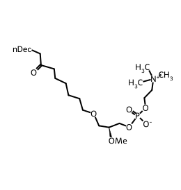 CCCCCCCCCCCC(=O)CCCCCCOC[C@@H](COP(=O)([O-])OCC[N+](C)(C)C)OC